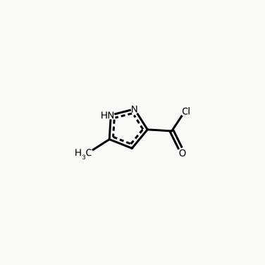 Cc1cc(C(=O)Cl)n[nH]1